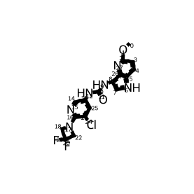 COc1ccc2[nH]cc(NC(=O)Nc3cnc(N4CC(F)(F)C4)c(Cl)c3)c2n1